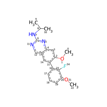 COc1cc2nc(NC(C)C)ncc2cc1-c1cccc(OC)c1F